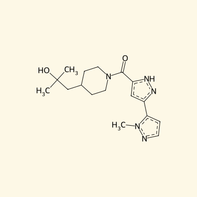 Cn1nccc1-c1cc(C(=O)N2CCC(CC(C)(C)O)CC2)[nH]n1